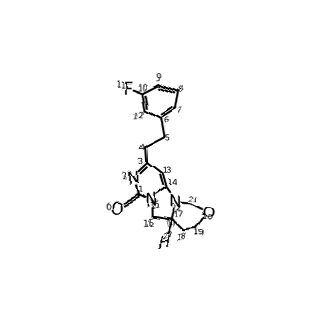 O=c1nc(CCc2cccc(F)c2)cc2n1C[C@H]1CCOCN21